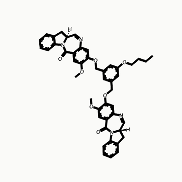 CCCCOc1cc(COc2cc3c(cc2OC)C(=O)N2c4ccccc4C[C@H]2C=N3)cc(COc2cc3c(cc2OC)C(=O)N2c4ccccc4C[C@H]2C=N3)c1